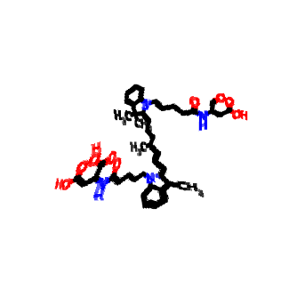 C=C1C(/C=C/C=C(C)/C=C/C=C2/N(CCCCC(=O)NC(C=O)CC(=O)O)c3ccccc3C2(C)C)=[N+](CCCCC(=O)NC(CC(=O)O)C(=O)O)c2ccccc21